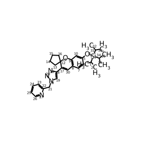 CC(C)[Si](Oc1ccc2c(c1)OC1(CCCC1)C(c1cn(Cc3ccccn3)nn1)=C2)(C(C)C)C(C)C